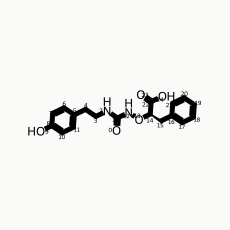 O=C(NCCc1ccc(O)cc1)NO[C@H](Cc1ccccc1)C(=O)O